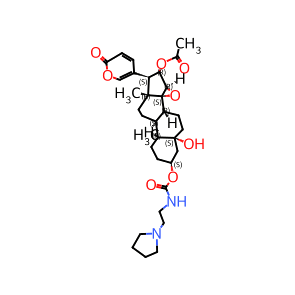 CC(=O)O[C@H]1[C@H]2O[C@]23[C@@H]2CC[C@]4(O)C[C@@H](OC(=O)NCCN5CCCC5)CC[C@]4(C)[C@H]2CC[C@]3(C)[C@H]1c1ccc(=O)oc1